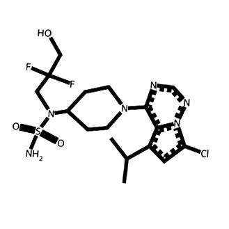 CC(C)c1cc(Cl)n2ncnc(N3CCC(N(CC(F)(F)CO)S(N)(=O)=O)CC3)c12